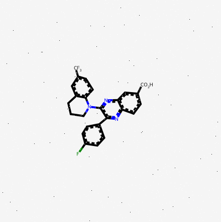 O=C(O)c1ccc2nc(-c3ccc(F)cc3)c(N3CCCc4cc(C(F)(F)F)ccc43)nc2c1